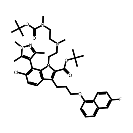 Cc1nn(C)c(C)c1-c1c(Cl)ccc2c(CCCOc3cccc4cc(F)ccc34)c(C(=O)OC(C)(C)C)n(CCN(C)CCN(C)C(=O)OC(C)(C)C)c12